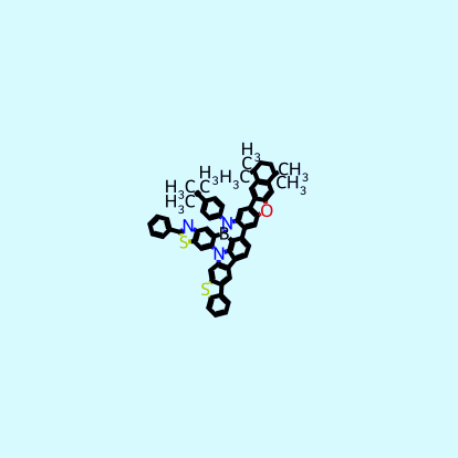 CC(C)(C)c1ccc(N2B3c4cc5nc(-c6ccccc6)sc5cc4-n4c5cc6sc7ccccc7c6cc5c5ccc(c3c54)-c3cc4oc5cc6c(cc5c4cc32)C(C)(C)CCC6(C)C)cc1